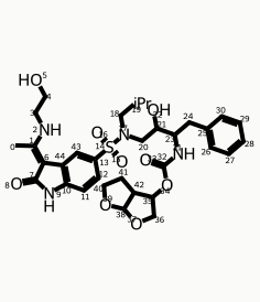 CC(NCCO)=C1C(=O)Nc2ccc(S(=O)(=O)N(CC(C)C)CC(O)C(Cc3ccccc3)NC(=O)OC3COC4OCCC34)cc21